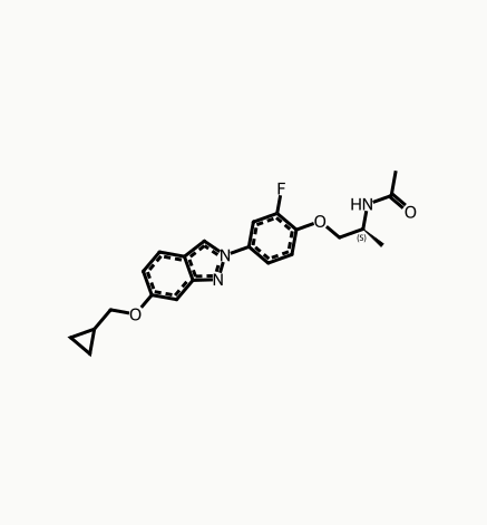 CC(=O)N[C@@H](C)COc1ccc(-n2cc3ccc(OCC4CC4)cc3n2)cc1F